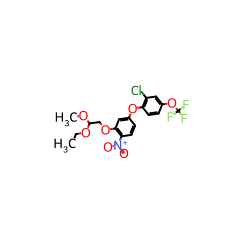 CCOC(COc1cc(Oc2ccc(OC(F)(F)F)cc2Cl)ccc1[N+](=O)[O-])OC